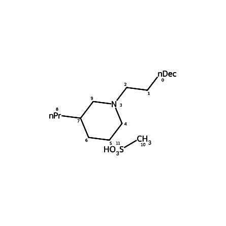 CCCCCCCCCCCCN1CCCC(CCC)C1.CS(=O)(=O)O